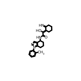 Cc1ccccc1-n1ncc2c1CCCC2NC(=O)/C(O)=C1\CCCCC1=N